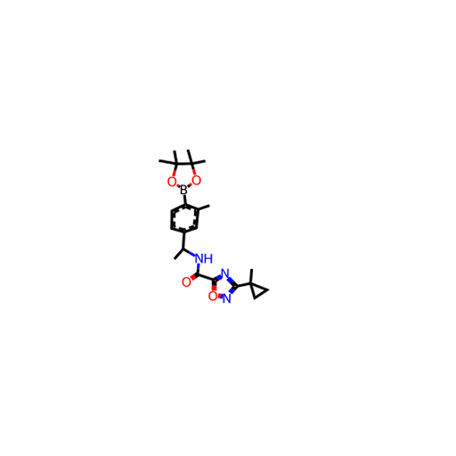 Cc1cc(C(C)NC(=O)c2nc(C3(C)CC3)no2)ccc1B1OC(C)(C)C(C)(C)O1